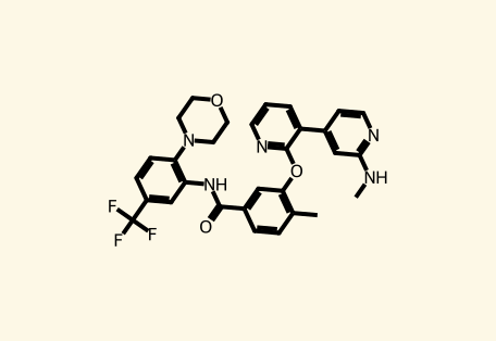 CNc1cc(-c2cccnc2Oc2cc(C(=O)Nc3cc(C(F)(F)F)ccc3N3CCOCC3)ccc2C)ccn1